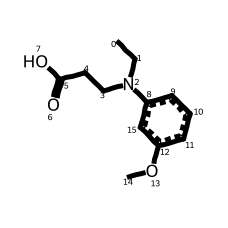 CCN(CCC(=O)O)c1cccc(OC)c1